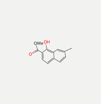 COC(=O)c1ccc2ccc(C)cc2c1O